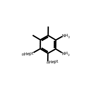 CCCCCCCc1c(C)c(C)c(N)c(N)c1CCCCCCC